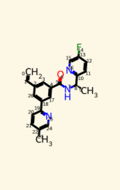 C=Cc1cc(C(=O)N[C@H](C)c2ccc(F)cn2)cc(-c2ccc(C)cn2)c1